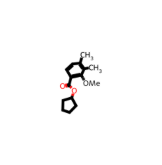 COc1c(C(=O)OC2CCCC2)ccc(C)c1C